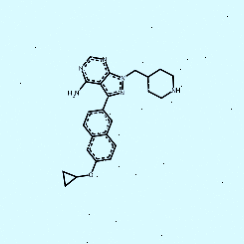 Nc1ncnc2c1c(-c1ccc3cc(OC4CC4)ccc3c1)nn2CC1CCNCC1